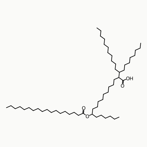 CCCCCCCCCCCCCCCCCC(=O)OC(CCCCCC)CCCCCCCCCC(C(=O)O)C(CCCCCCCC)CCCCCCCCCCC